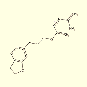 C=C(N)/N=C\C(=C)OCCCc1ccc2c(c1)OCC2